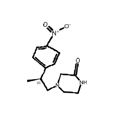 C[C@H](CN1CCNC(=O)C1)c1ccc([N+](=O)[O-])cc1